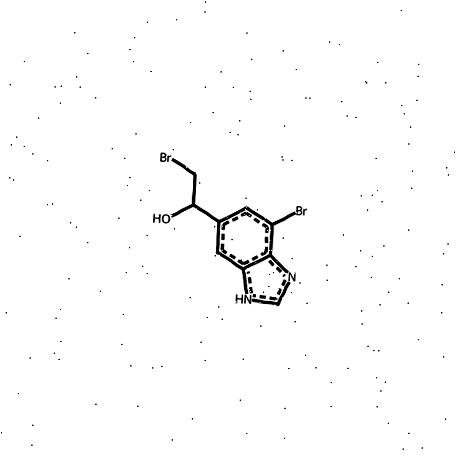 OC(CBr)c1cc(Br)c2nc[nH]c2c1